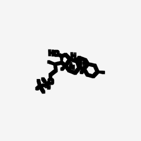 C[C@H]1CCC2(C)C(=CC[C@@H]3[C@@H]2CC[C@]2(C)[C@@H]([C@H](C)CCO[Si](C)(C)C(C)(C)C)C(O)C[C@@H]32)C1